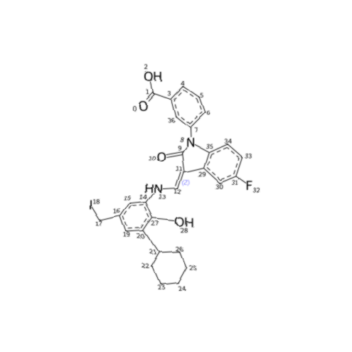 O=C(O)c1cccc(N2C(=O)/C(=C\Nc3cc(CI)cc(C4CCCCC4)c3O)c3cc(F)ccc32)c1